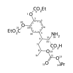 CCOC(=O)Oc1ccc(C(CC(C)OC(=O)OC(C)C)[C@H](N)C(=O)O)cc1OC(=O)OCC